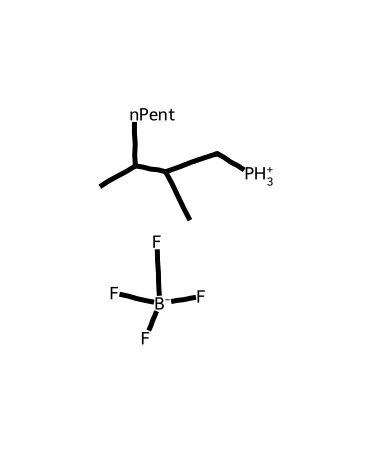 CCCCCC(C)C(C)C[PH3+].F[B-](F)(F)F